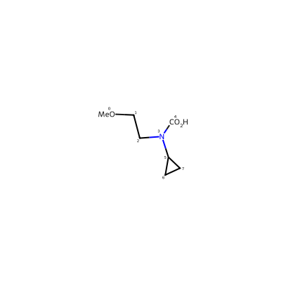 COCCN(C(=O)O)C1CC1